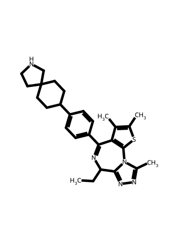 CCC1N=C(c2ccc(C3CCC4(CCNC4)CC3)cc2)c2c(sc(C)c2C)-n2c(C)nnc21